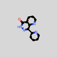 O=c1[nH]nc(-c2ccccn2)c2ncccc12